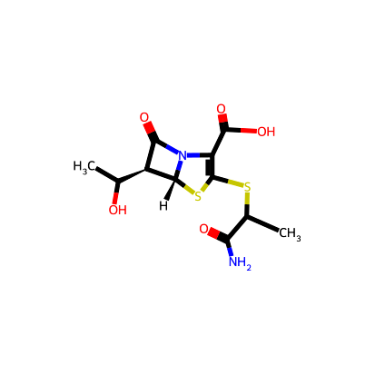 CC(SC1=C(C(=O)O)N2C(=O)[C@H](C(C)O)[C@H]2S1)C(N)=O